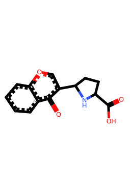 O=C(O)C1CCC(c2coc3ccccc3c2=O)N1